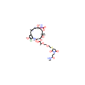 CCNC(=O)CCN1C(=O)CC(SCCOCCO[C@@H](C)C(=O)O[C@H]2CC(=O)N(C)c3cc(cc(OC)c3Cl)C/C(C)=C/C=C/[C@@H](OC)[C@@]3(O)CC(OC(=O)N3)[C@@H](C)[C@@H]3O[C@@]23C)C1=O